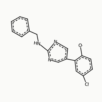 [O]c1ccc(Cl)cc1-c1cnc(NCc2ccccc2)nc1